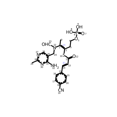 C/C(=C(\CCOP(=O)(O)O)SC(=O)/C=C/c1ccc(C#N)cc1)N(C=O)Cc1cnc(C)nc1N